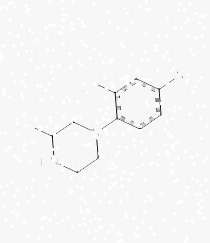 CC1CN(c2ccc(N)cc2C(=O)O)CCN1